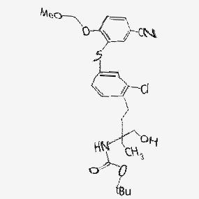 COCOc1ccc(C#N)cc1Sc1ccc(CCC(C)(CO)NC(=O)OC(C)(C)C)c(Cl)c1